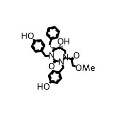 COCC(=O)N1C[C@@H](O)[C@@H](Cc2ccccc2)N(Cc2ccc(O)cc2)C(=O)N1Cc1ccc(O)cc1